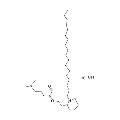 CCCCCCCCCCCCCCCCCCN1CCCCC1CCON(C=O)CCCN(C)C.Cl.Cl